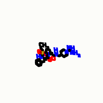 CCCS(=O)(=O)N[C@H](Cc1ccccc1)C(=O)N1CCC[C@H]1C(=O)NCC1CCN(C(=N)N)CC1